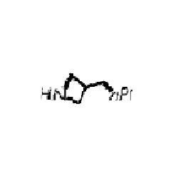 CCCCC1CNC1